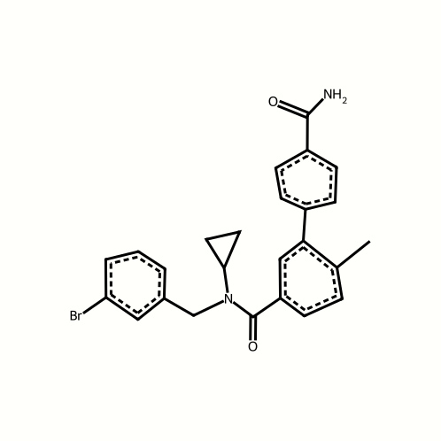 Cc1ccc(C(=O)N(Cc2cccc(Br)c2)C2CC2)cc1-c1ccc(C(N)=O)cc1